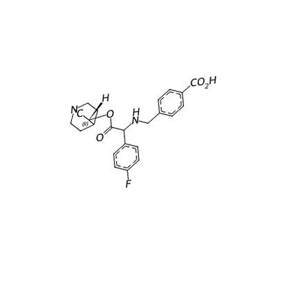 O=C(O)c1ccc(CNC(C(=O)O[C@H]2CN3CCC2CC3)c2ccc(F)cc2)cc1